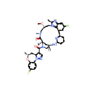 CO[C@H]1CN(C)C(=O)[C@@H]2C[C@@H](CN2C(=O)c2cnn3c2C[C@H](C)Oc2cc(F)ccc2-3)Nc2cccc(n2)-c2cc(F)cc3nc(C)n(c23)C1